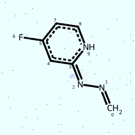 C=N/N=c1/cc(F)cc[nH]1